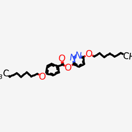 CCCCCCCOc1ccc(C(=O)Oc2ccc(OCCCCCCC)nn2)cc1